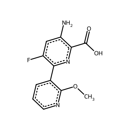 COc1ncccc1-c1nc(C(=O)O)c(N)cc1F